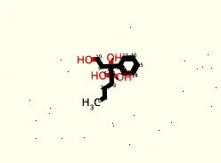 CCCCC(O)(O)C(O)(CCO)c1ccccc1